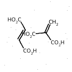 C=C(C(=O)O)C(=O)O.O=C(O)C=CC(=O)O